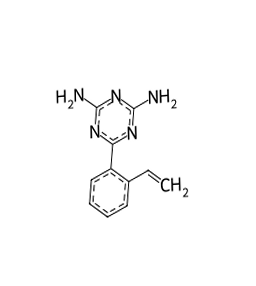 C=Cc1ccccc1-c1nc(N)nc(N)n1